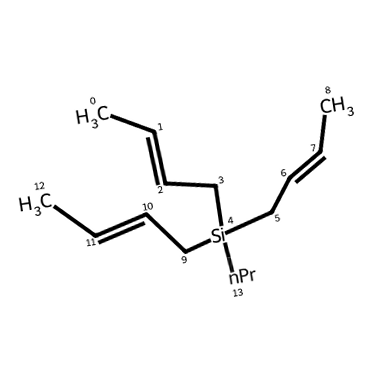 CC=CC[Si](CC=CC)(CC=CC)CCC